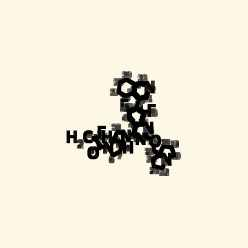 C=C(F)C(=O)N1CC[C@@H]2[C@H]1CN2c1nc(OCC23CCCN2CCC3)nc2c(F)c(-c3cncc4c3CCCC4)c(F)cc12